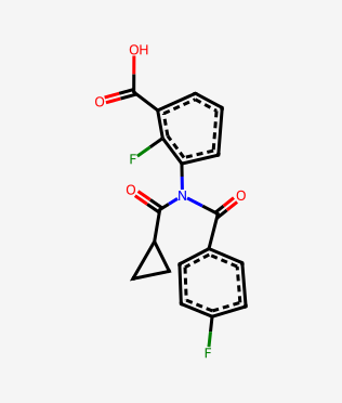 O=C(O)c1cccc(N(C(=O)c2ccc(F)cc2)C(=O)C2CC2)c1F